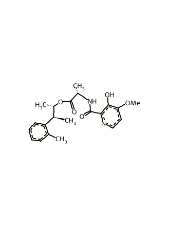 COc1ccnc(C(=O)N[C@@H](C)C(=O)O[C@@H](C)[C@@H](C)c2ccccc2C)c1O